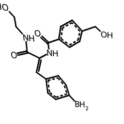 Bc1ccc(/C=C(\NC(=O)c2ccc(CO)cc2)C(=O)NCCO)cc1